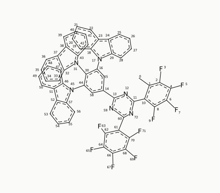 Cc1c(F)c(F)c(F)c(F)c1-c1nc(-c2cc(-n3c4ccccc4c4ccccc43)c(-n3c4ccccc4c4ccccc43)c(-n3c4ccccc4c4ccccc43)c2)nc(-c2c(F)c(F)c(F)c(F)c2F)n1